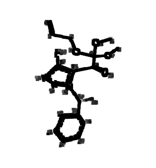 C=CCOC(OC)(OC)C(=O)c1c(F)nnn1[C@H](C)c1ccccc1